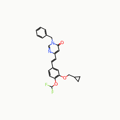 O=c1cc(C=Cc2ccc(OC(F)F)c(OCC3CC3)c2)ncn1Cc1ccccc1